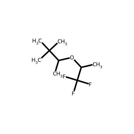 CC(OC(C)C(F)(F)F)C(C)(C)C